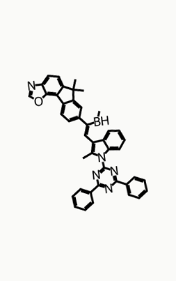 CB/C(=C\c1c(C)n(-c2nc(-c3ccccc3)nc(-c3ccccc3)n2)c2ccccc12)c1ccc2c(c1)C(C)(C)c1ccc3ncoc3c1-2